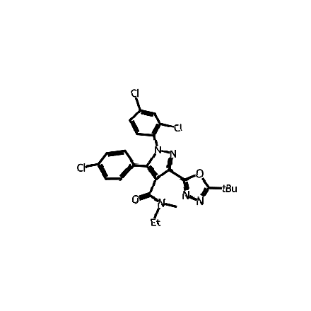 CCN(C)C(=O)c1c(-c2nnc(C(C)(C)C)o2)nn(-c2ccc(Cl)cc2Cl)c1-c1ccc(Cl)cc1